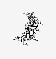 CC1(C)C2CC[C@]3(C)[C@H](C(=O)C=C4[C@@H]5C[C@@](C)(C(=O)NO)CC[C@]5(C)CC[C@]43C)[C@@]2(C)CC[C@H]1NS(C)(=O)=O